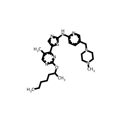 CCCCCC(C)Oc1ncc(C)c(-c2cnc(Nc3ccc(CN4CCN(C)CC4)cn3)s2)n1